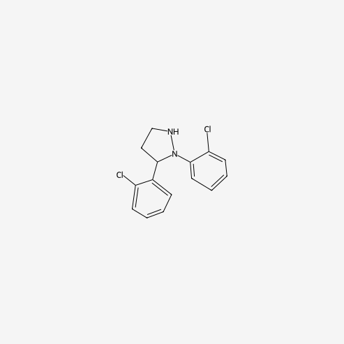 Clc1ccccc1C1CCNN1c1ccccc1Cl